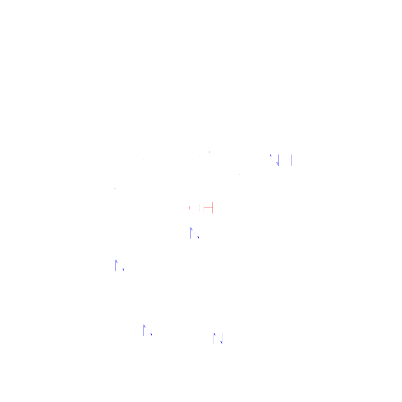 CCC(CC)CNC(=O)/C(C)=N/c1c(C)ncnc1N1/C=C/C=C\C=C\C(C)(CCO)C1